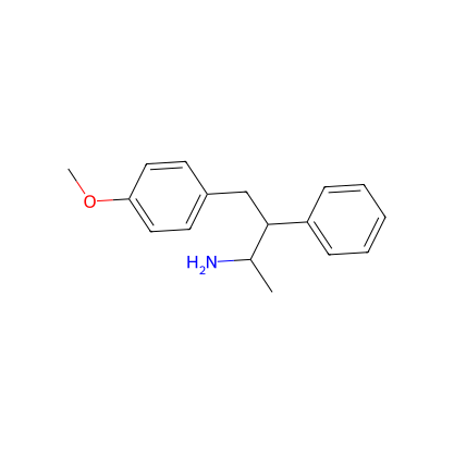 COc1ccc(CC(c2ccccc2)C(C)N)cc1